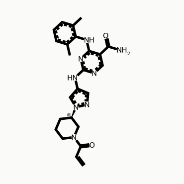 C=CC(=O)N1CCC[C@@H](n2cc(Nc3ncc(C(N)=O)c(Nc4c(C)cccc4C)n3)cn2)C1